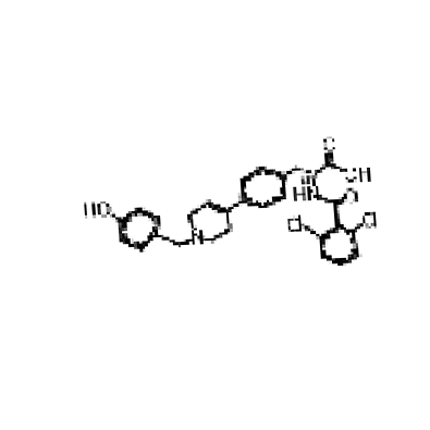 O=C(N[C@@H](Cc1ccc(C2=CCN(Cc3ccc(O)cc3)CC2)cc1)C(=O)O)c1c(Cl)cccc1Cl